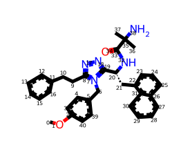 COc1ccc(Cn2c(CCc3ccccc3)nnc2[C@@H](Cc2cccc3ccccc23)NC(=O)C(C)(C)N)cc1